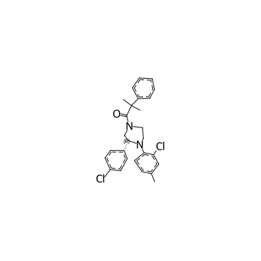 Cc1ccc(N2CCN(C(=O)C(C)(C)c3ccccc3)C[C@H]2c2ccc(Cl)cc2)c(Cl)c1